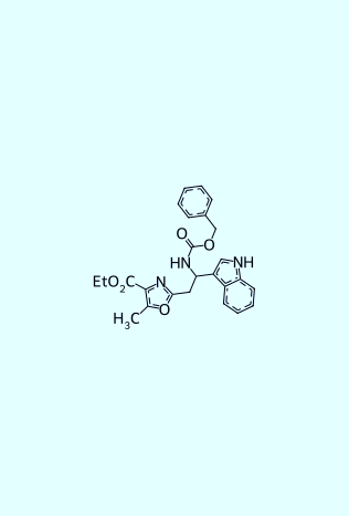 CCOC(=O)c1nc(CC(NC(=O)OCc2ccccc2)c2c[nH]c3ccccc23)oc1C